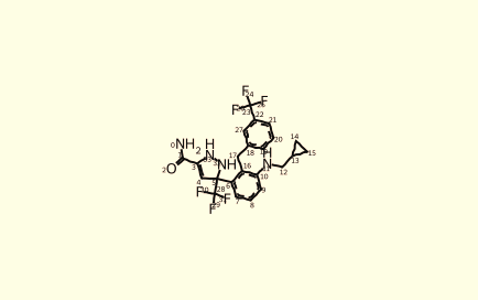 NC(=O)C1=CC(c2cccc(NCC3CC3)c2Cc2cccc(C(F)(F)F)c2)(C(F)(F)F)NN1